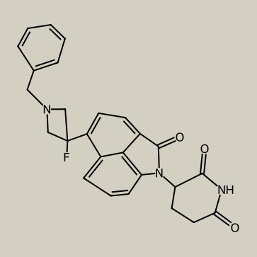 O=C1CCC(N2C(=O)c3ccc(C4(F)CN(Cc5ccccc5)C4)c4cccc2c34)C(=O)N1